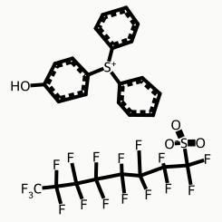 O=S(=O)([O-])C(F)(F)C(F)(F)C(F)(F)C(F)(F)C(F)(F)C(F)(F)C(F)(F)C(F)(F)F.Oc1ccc([S+](c2ccccc2)c2ccccc2)cc1